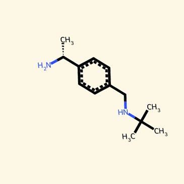 C[C@@H](N)c1ccc(CNC(C)(C)C)cc1